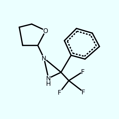 FC(F)(F)C1(c2ccccc2)NN1C1CCCO1